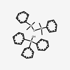 C[Si](C)(O[Si](C)(C)c1ccccc1)c1ccccc1.O[Si](c1ccccc1)(c1ccccc1)c1ccccc1